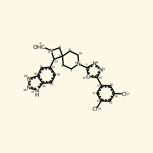 O=CN1CC2(CCN(c3nnc(-c4cc(Cl)cc(Cl)c4)o3)CC2)C1c1ccc2[nH]nnc2c1